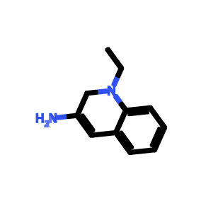 CCN1CC(N)=Cc2ccccc21